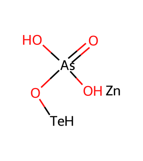 O=[As](O)(O)O[TeH].[Zn]